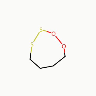 C1CCSSOOC1